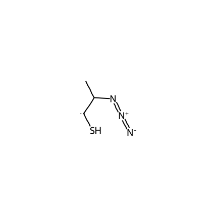 CC([CH]S)N=[N+]=[N-]